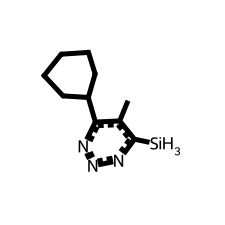 Cc1c([SiH3])nnnc1C1CCCCC1